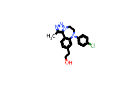 Cc1nnn2c1-c1ccc(CCO)cc1N(c1ccc(Cl)cc1)CC2